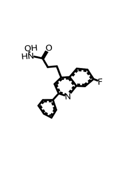 O=C(CCc1cc(-c2ccccc2)nc2cc(F)ccc12)NO